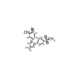 CS(=O)(=O)c1ccc(C2=CC3(C=C2c2ccc(Br)c(Cl)c2)CC3)cc1